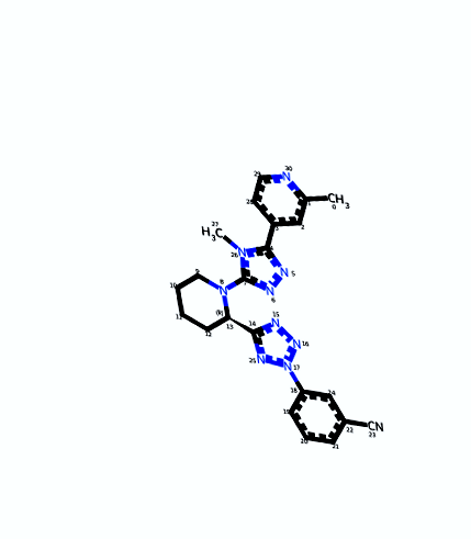 Cc1cc(-c2nnc(N3CCCC[C@@H]3c3nnn(-c4cccc(C#N)c4)n3)n2C)ccn1